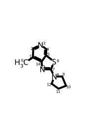 Cc1cncc2sc(N3CCCC3)nc12